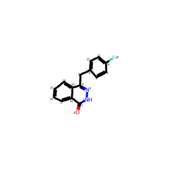 O=c1[nH]nc(Cc2ccc(F)cc2)c2ccccc12